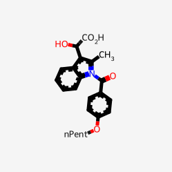 CCCCCOc1ccc(C(=O)n2c(C)c(C(O)C(=O)O)c3ccccc32)cc1